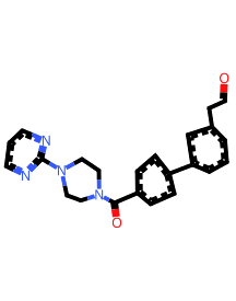 O=CCc1cccc(-c2ccc(C(=O)N3CCN(c4ncccn4)CC3)cc2)c1